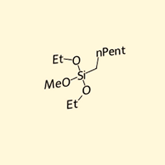 CCCCCC[Si](OC)(OCC)OCC